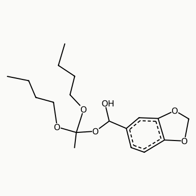 CCCCOC(C)(OCCCC)OC(O)c1ccc2c(c1)OCO2